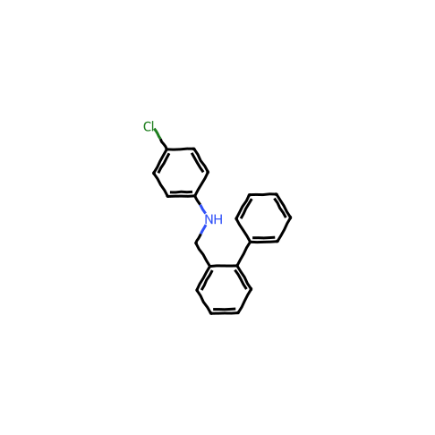 Clc1ccc(NCc2ccccc2-c2ccccc2)cc1